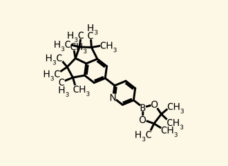 CC1(C)OB(c2ccc(-c3cc4c5c(c3)C(C)(C)C(C)(C)C5(C)C(C)(C)C4(C)C)nc2)OC1(C)C